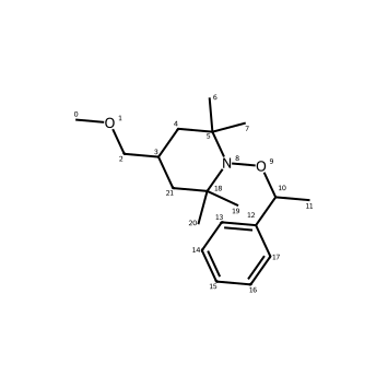 COCC1CC(C)(C)N(OC(C)c2ccccc2)C(C)(C)C1